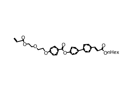 C=CC(=O)OCCOCCOc1ccc(C(=O)Oc2ccc(-c3ccc(/C=C/C(=O)OCCCCCC)cc3)cc2)cc1